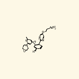 Cc1cc(Oc2cc(C#N)ccc2-c2ncc(OCCN)cn2)cc(N2CCOCC2)n1